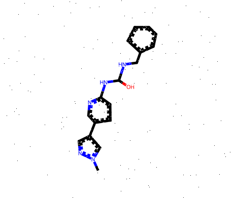 Cn1cc(-c2ccc(NC(O)NCc3ccccc3)nc2)cn1